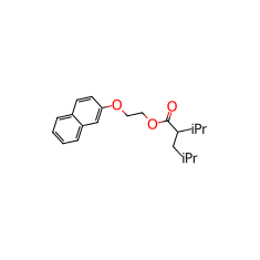 CC(C)CC(C(=O)OCCOc1ccc2ccccc2c1)C(C)C